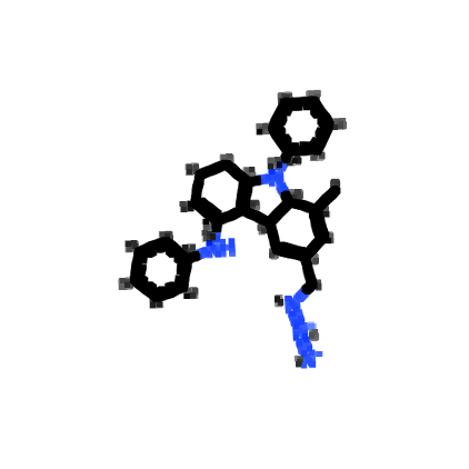 CC1=CC(CN=[N+]=[N-])=CC2C3=C(CCC=C3Nc3ccccc3)N(c3ccccc3)C12